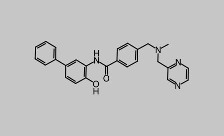 CN(Cc1ccc(C(=O)Nc2cc(-c3ccccc3)ccc2O)cc1)Cc1cnccn1